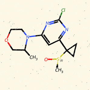 CC1COCCN1c1cc(C2([S@@+](C)[O-])CC2)nc(Cl)n1